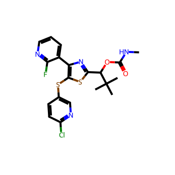 CNC(=O)OC(c1nc(-c2cccnc2F)c(Sc2ccc(Cl)nc2)s1)C(C)(C)C